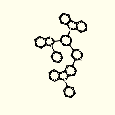 c1ccc(-n2c(-c3cc(-c4cc(-c5ccc6c(c5)c5ccccc5n6-c5ccccc5)ncn4)cc(-n4c5ccccc5c5ccccc54)c3)nc3ccccc32)cc1